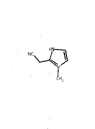 C[n+]1cc[nH]c1CC#N